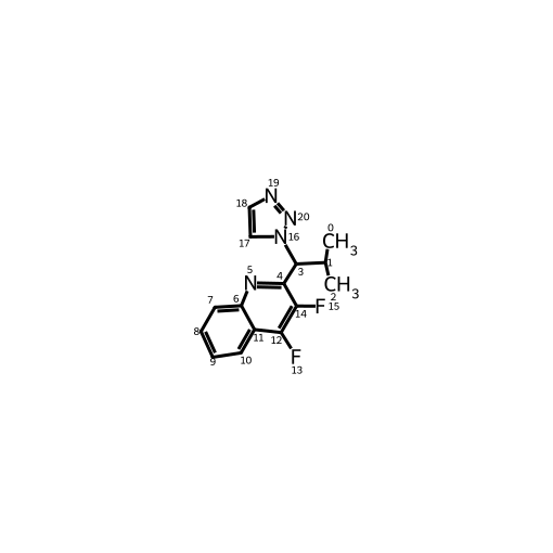 CC(C)C(c1nc2ccccc2c(F)c1F)n1ccnn1